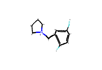 Fc1ccc(F)c(CN2CCCC2)c1